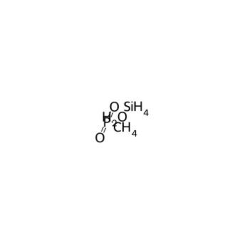 C.O.O=[P]=O.[SiH4]